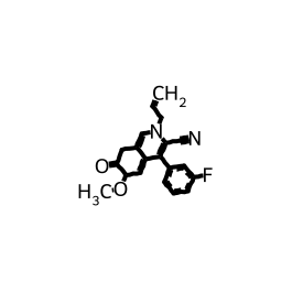 C=CCN1C=C2CC(=O)C(OC)C=C2C(c2cccc(F)c2)=C1C#N